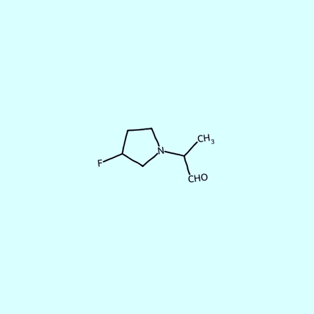 CC(C=O)N1CCC(F)C1